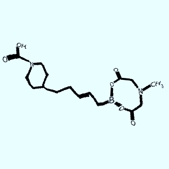 CN1CC(=O)OB(C/C=C/CCC2CCN(C(=O)O)CC2)OC(=O)C1